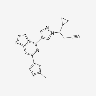 Cc1cn(-c2cc3nccn3c(-c3cnn(C(CC#N)C4CC4)c3)n2)cn1